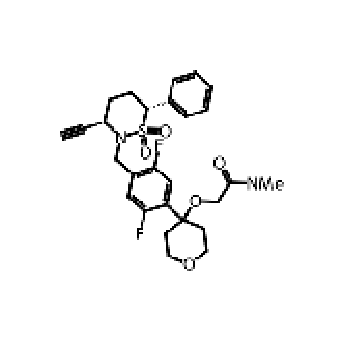 C#C[C@H]1CC[C@H](c2ccccc2)S(=O)(=O)N1Cc1cc(F)c(C2(OCC(=O)NC)CCOCC2)cc1F